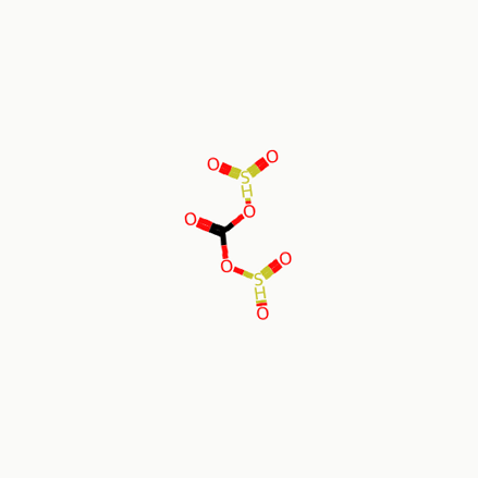 O=C(O[SH](=O)=O)O[SH](=O)=O